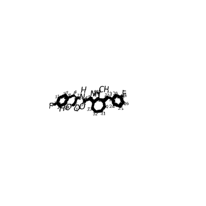 Cn1nc(C(=O)N[C@H](Cc2ccc(F)cc2)C(=O)O)c2c1C(=Cc1cccc(F)c1)CCCC2